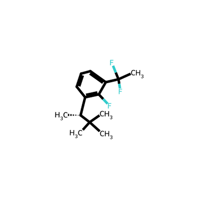 C[C@H](c1cccc(C(C)(F)F)c1F)C(C)(C)C